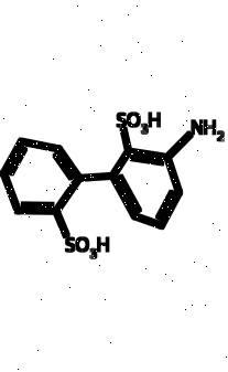 Nc1cccc(-c2ccccc2S(=O)(=O)O)c1S(=O)(=O)O